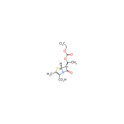 CC1=C(C(=O)O)N2C(=O)[C@H](C(C)OC(=O)OCC(Cl)(Cl)Cl)[C@H]2S1